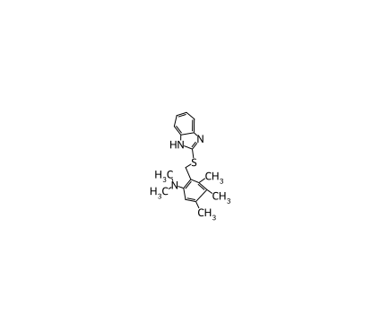 Cc1cc(N(C)C)c(CSc2nc3ccccc3[nH]2)c(C)c1C